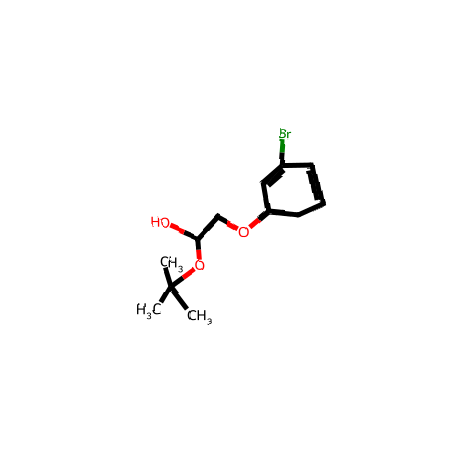 CC(C)(C)OC(O)COC1C=C(Br)C=CC1